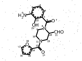 Nc1cccc(C(=O)N2CCN(C(=O)c3ccco3)CC2C=O)c1O